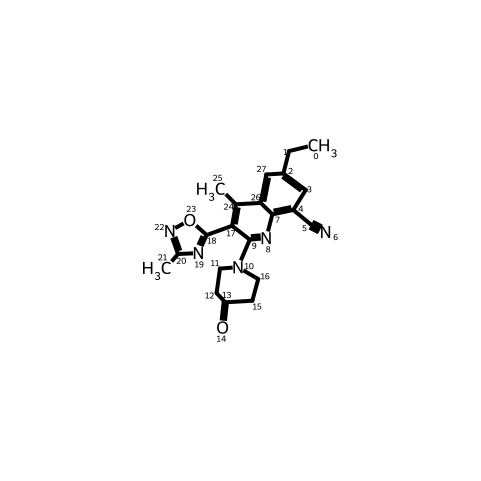 CCc1cc(C#N)c2nc(N3CCC(=O)CC3)c(-c3nc(C)no3)c(C)c2c1